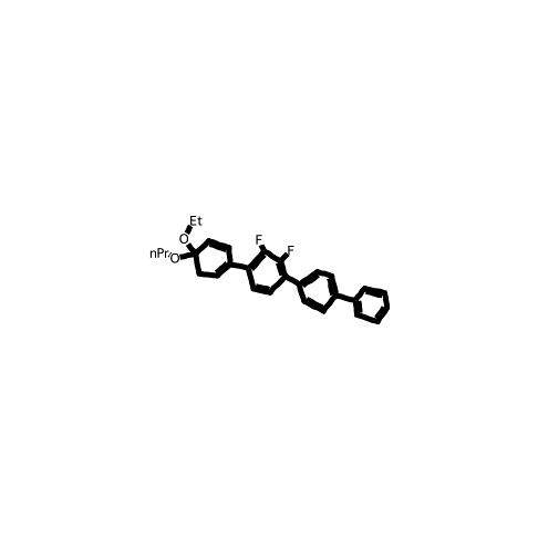 CCCOC1(OCC)C=CC(c2ccc(-c3ccc(-c4ccccc4)cc3)c(F)c2F)=CC1